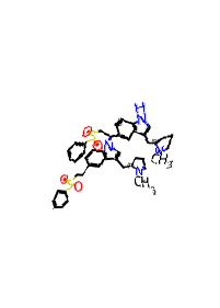 CN1CCC[C@@H]1Cc1c[nH]c2ccc(C(CS(=O)(=O)c3ccccc3)n3cc(C[C@H]4CCCN4C)c4cc(CCS(=O)(=O)c5ccccc5)ccc43)cc12